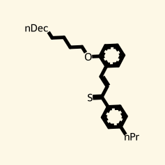 CCCCCCCCCCCCCCOc1ccccc1C=CC(=S)c1ccc(CCC)cc1